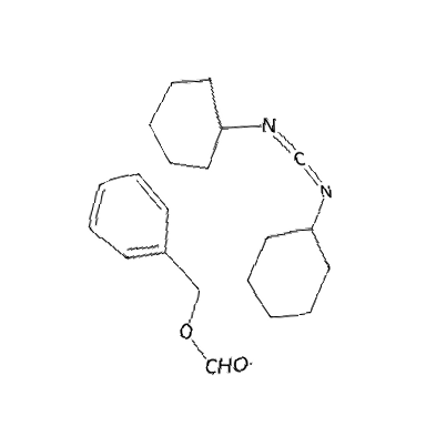 C(=NC1CCCCC1)=NC1CCCCC1.O=[C]OCc1ccccc1